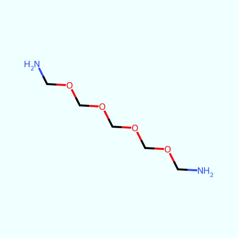 NCOCOCOCOCN